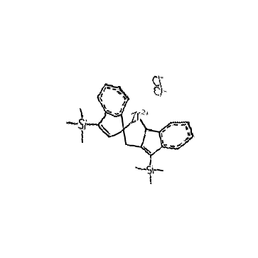 C[Si](C)(C)C1=C[C]2(CC3=C([Si](C)(C)C)c4ccccc4[CH]3[Zr+2]2)c2ccccc21.[Cl-].[Cl-]